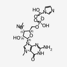 CO[C@H]1[C@@H](O)[C@H](n2c[n+](C)c3c(=O)[nH]c(N)nc32)O[C@@H]1COP(=O)(O)OP(=O)(O)n1ccnc1.[Na+]